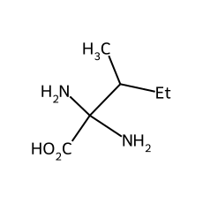 CCC(C)C(N)(N)C(=O)O